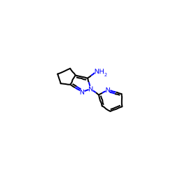 Nc1c2c(nn1-c1ccccn1)CCC2